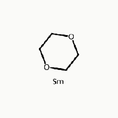 C1COCCO1.[Sm]